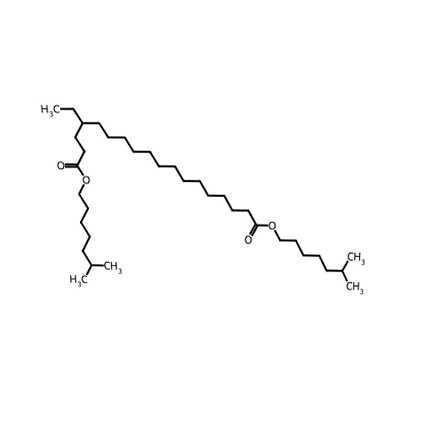 CCC(CCCCCCCCCCCCCC(=O)OCCCCCC(C)C)CCC(=O)OCCCCCC(C)C